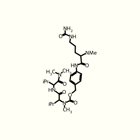 CNC(CCCNC(N)=O)C(=O)Nc1ccc(COC(=O)N(C)C(C(=O)NC(C(=O)N(C)C)C(C)C)C(C)C)cc1